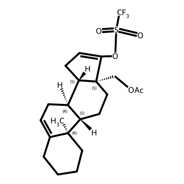 CC(=O)OC[C@]12CC[C@H]3[C@@H](CC=C4CCCC[C@@]43C)[C@@H]1CC=C2OS(=O)(=O)C(F)(F)F